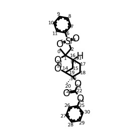 CC1(CS(=O)(=O)c2ccccc2)OOC2C[C@H]1CC[C@@]2(C)OC(=O)Oc1ccccc1